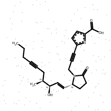 CCCC#CC[C@H](C)[C@H](O)C=C[C@H]1CCC(=O)N1CC#Cc1ccc(C(=O)O)s1